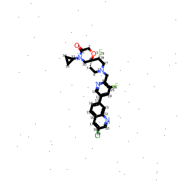 O=C1CO[C@]2(CCN(Cc3ncc(-c4ccc5cc(Cl)cnc5c4)cc3F)C[C@@H]2F)CN1C1CC1